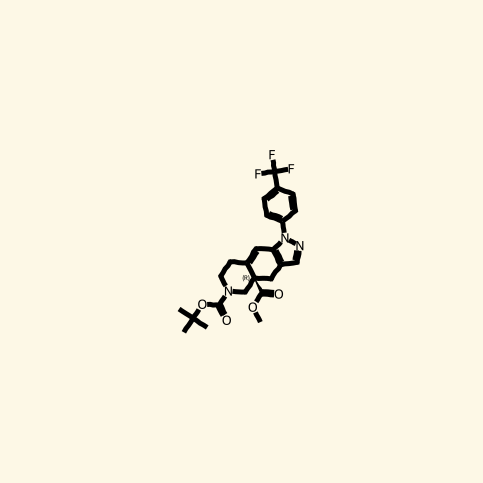 COC(=O)[C@]12Cc3cnn(-c4ccc(C(F)(F)F)cc4)c3C=C1CCN(C(=O)OC(C)(C)C)C2